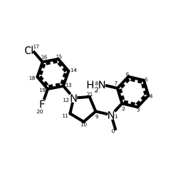 CN(c1ccccc1N)C1CCN(c2ccc(Cl)cc2F)C1